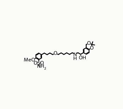 COc1ccc(CCCCOCCCCCCNC[C@@H](O)c2ccc3c(c2)COC(C)(C)O3)cc1S(N)(=O)=O